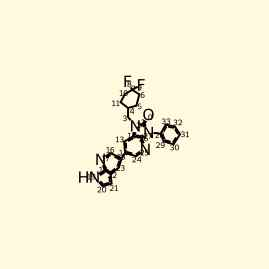 O=c1n(CC2CCC(F)(F)CC2)c2cc(-c3cnc4[nH]ccc4c3)cnc2n1-c1ccccc1